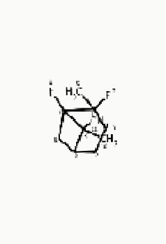 CC1(F)CCC2CC1(F)C2(C)C